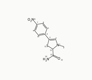 CN1C=C(c2ccc([N+](=O)[O-])cc2)SC1C(N)=O